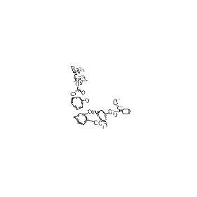 O=C(O)c1ccccc1O.O=[S-](=O)[O-].O=[S-](=O)[O-].[Ba+2].[Ca+2].[Mg+2].[O-]c1ccccc1.[O-]c1ccccc1